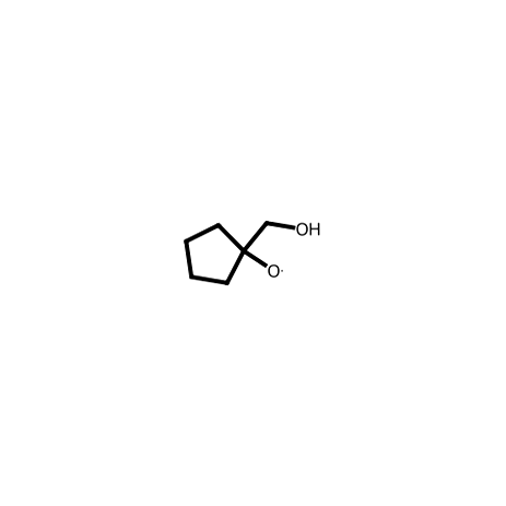 [O]C1(CO)CCCC1